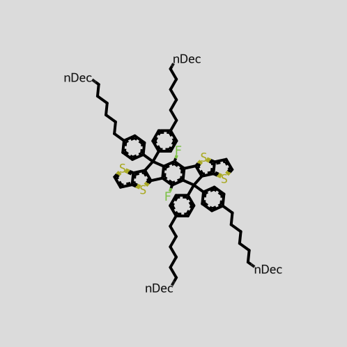 CCCCCCCCCCCCCCCCc1ccc(C2(c3ccc(CCCCCCCCCCCCCCCC)cc3)c3c(F)c4c(c(F)c3-c3sc5ccsc5c32)C(c2ccc(CCCCCCCCCCCCCCCC)cc2)(c2ccc(CCCCCCCCCCCCCCCC)cc2)c2c-4sc3ccsc23)cc1